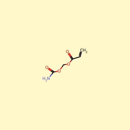 C=CC(=O)OCOC(N)=O